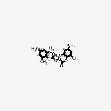 Cc1cc(C)c(OC(=O)OOC(=O)Oc2c(C)cc(C)cc2C)c(C)c1